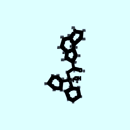 O=C(C[PH](O)(c1ccccc1)c1ccccc1)c1cc2c(ccc3sccc32)s1